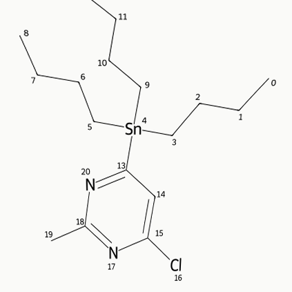 CCC[CH2][Sn]([CH2]CCC)([CH2]CCC)[c]1cc(Cl)nc(C)n1